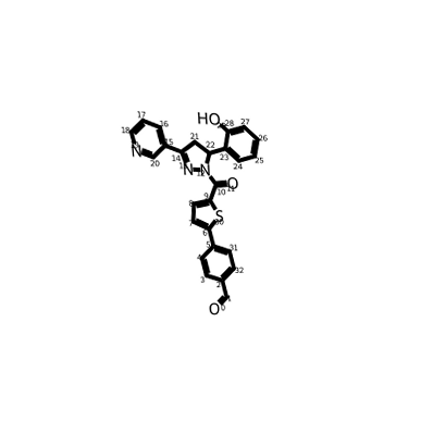 O=Cc1ccc(-c2ccc(C(=O)N3N=C(c4cccnc4)CC3c3ccccc3O)s2)cc1